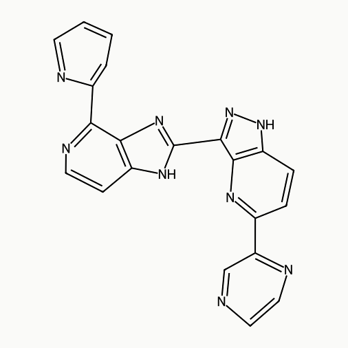 c1ccc(-c2nccc3[nH]c(-c4n[nH]c5ccc(-c6cnccn6)nc45)nc23)nc1